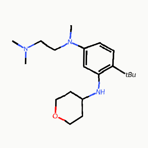 CN(C)CCN(C)c1ccc(C(C)(C)C)c(NC2CCOCC2)c1